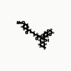 COc1ccc(C(=O)CCCCCC(=O)N[C@H](CN2CCC(F)CC2)[C@H](O)c2ccc3c(c2)OCCO3)cc1